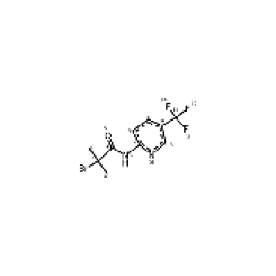 CC(C)(Br)C(=O)Nc1ccc(C(F)(F)F)cn1